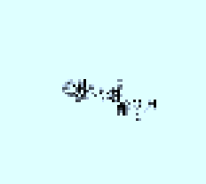 NC(CCN(CCCCc1ccc2c(n1)NCCC2)CC(F)F)C(=O)O